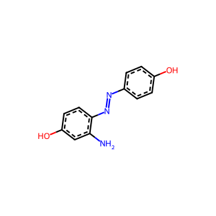 Nc1cc(O)ccc1N=Nc1ccc(O)cc1